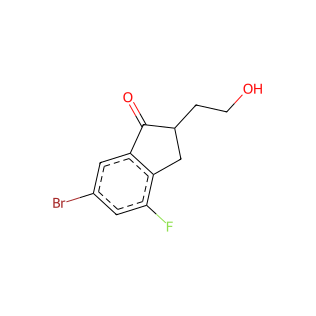 O=C1c2cc(Br)cc(F)c2CC1CCO